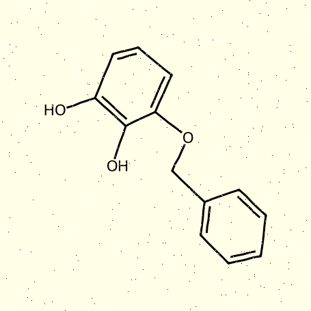 Oc1cccc(OCc2ccccc2)c1O